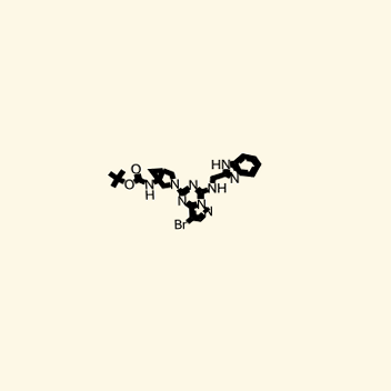 CC(C)(C)OC(=O)NC12CC1CN(c1nc(NCc3nc4ccccc4[nH]3)n3ncc(Br)c3n1)C2